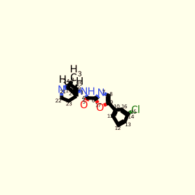 C[C@H]1[C@H](NC(=O)c2ncc(-c3cccc(Cl)c3)o2)C2CCN1CC2